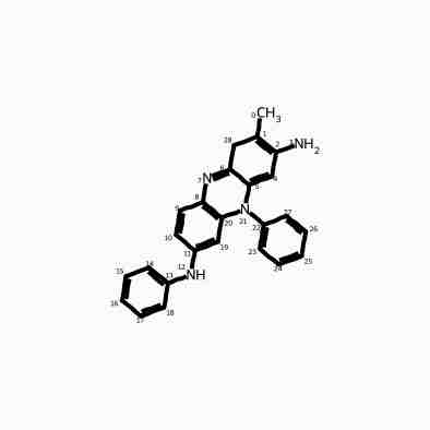 CC1=C(N)C=C2C(=Nc3ccc(Nc4ccccc4)cc3N2c2ccccc2)C1